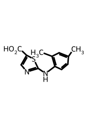 Cc1ccc(Nc2ncc(C(=O)O)s2)c(C)c1